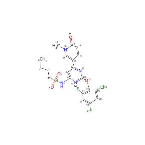 CCCCS(=O)(=O)Nc1cc(-c2ccc(=O)n(C)c2)nc(Oc2c(F)cc(F)cc2Cl)n1